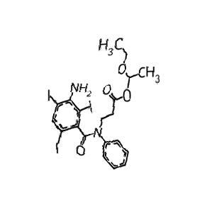 CCOC(C)OC(=O)CCN(C(=O)c1c(I)cc(I)c(N)c1I)c1ccccc1